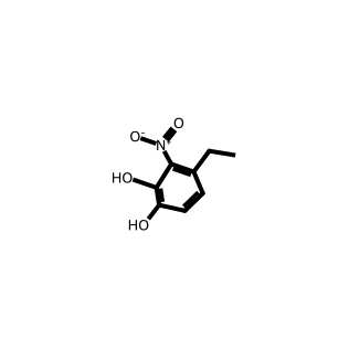 CCc1ccc(O)c(O)c1[N+](=O)[O-]